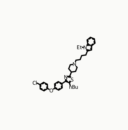 CCCCc1sc(C2CCN(CCCCc3cc4ccccc4n3CC)CC2)nc1-c1ccc(Oc2ccc(Cl)cc2)cc1